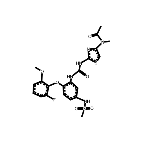 COc1cccc(F)c1Oc1ccc(NS(C)(=O)=O)cc1NC(=O)Nc1nc(N(C)C(C)=O)cs1